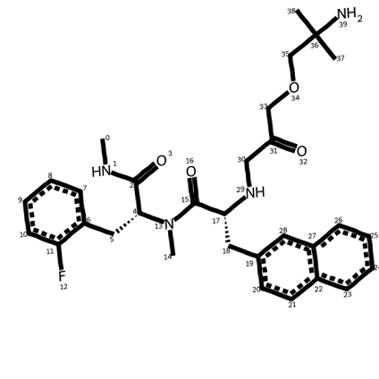 CNC(=O)[C@@H](Cc1ccccc1F)N(C)C(=O)[C@@H](Cc1ccc2ccccc2c1)NCC(=O)COCC(C)(C)N